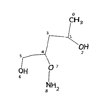 CC(O)CC(CO)ON